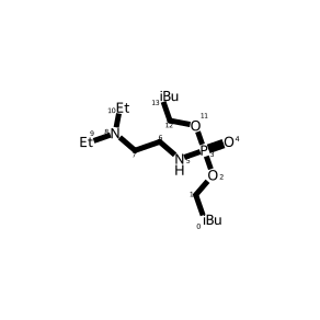 CCC(C)COP(=O)(NCCN(CC)CC)OCC(C)CC